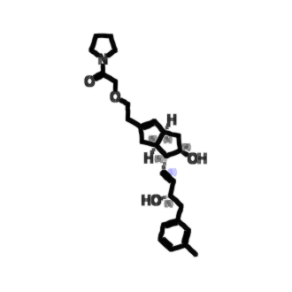 Cc1cccc(C[C@H](O)/C=C/[C@@H]2[C@H]3CC(CCOCC(=O)N4CCCC4)=C[C@H]3C[C@H]2O)c1